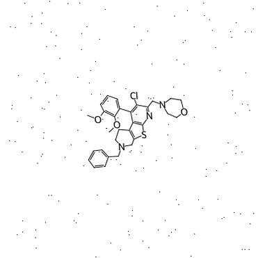 COc1cccc(-c2c(Cl)c(CN3CCOCC3)nc3sc4c(c23)CCN(Cc2ccccc2)C4)c1OC